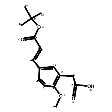 COc1ccc(C=CC(=O)OC(C)(C)C)cc1CC(=O)O